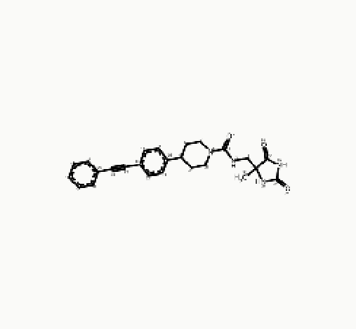 CC1(CNC(=O)N2CCC(c3ccc(C#Cc4ccccc4)cc3)CC2)NC(=O)NC1=O